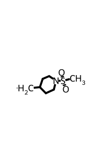 [CH2]C1CCN(S(C)(=O)=O)CC1